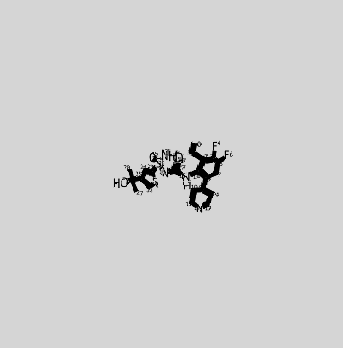 CCc1c(F)c(F)cc(-c2ccncc2)c1NC(=O)N=S(N)(=O)c1cc(C(C)(C)O)cs1